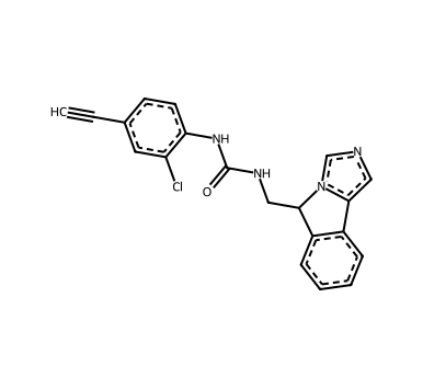 C#Cc1ccc(NC(=O)NCC2c3ccccc3-c3cncn32)c(Cl)c1